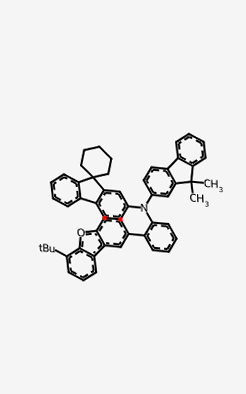 CC(C)(C)c1cccc2c1oc1ccc(-c3ccccc3N(c3ccc4c(c3)C(C)(C)c3ccccc3-4)c3ccc4c(c3)C3(CCCCC3)c3ccccc3-4)cc12